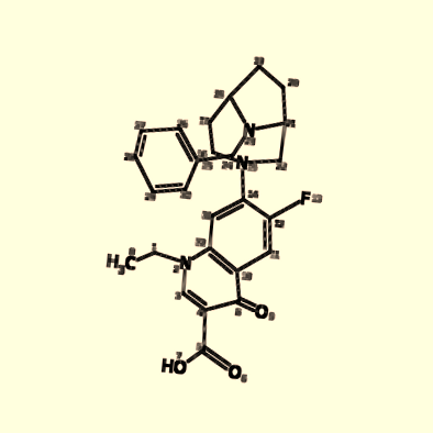 CCn1cc(C(=O)O)c(=O)c2cc(F)c(N3CCC4CCC(C3)N4Cc3ccccc3)cc21